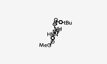 COCCOc1ccc(Nc2ncc(F)c(NCC3CCN(C(=O)c4ccc(C(C)(C)C)cc4)C3)n2)cc1